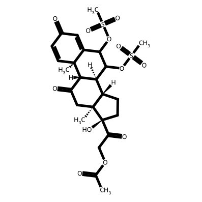 CC(=O)OCC(=O)[C@@]1(O)CC[C@H]2[C@@H]3C(OS(C)(=O)=O)C(OS(C)(=O)=O)C4=CC(=O)C=C[C@]4(C)[C@H]3C(=O)C[C@@]21C